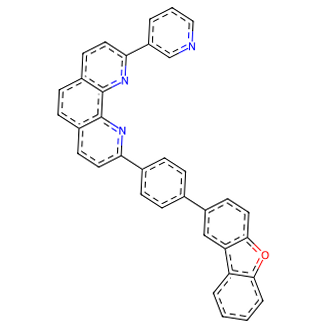 c1cncc(-c2ccc3ccc4ccc(-c5ccc(-c6ccc7oc8ccccc8c7c6)cc5)nc4c3n2)c1